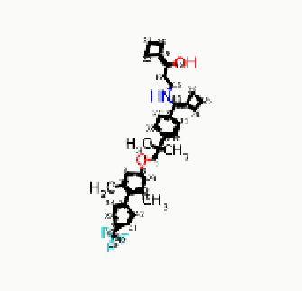 Cc1cc(OCC(C)(C)c2ccc(C(NCCC(O)=C3CCC3)=C3CCC3)cc2)cc(C)c1-c1ccc(C(F)(F)F)cc1